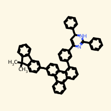 CC1(C)c2ccccc2-c2cc(-c3ccc4c(c3)c3ccccc3c3cccc(-c5cccc(C6=CC(c7ccccc7)NC(c7ccccc7)=N6)c5)c34)ccc21